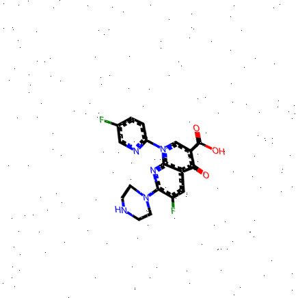 O=C(O)c1cn(-c2ccc(F)cn2)c2nc(N3CCNCC3)c(F)cc2c1=O